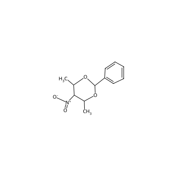 CC1OC(c2ccccc2)OC(C)C1[N+](=O)[O-]